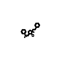 CN(/C=C1\CCC(C)(C=Cc2ccccc2)C1=O)c1ccccc1